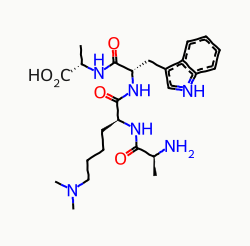 C[C@H](N)C(=O)N[C@@H](CCCCN(C)C)C(=O)N[C@@H](Cc1c[nH]c2ccccc12)C(=O)N[C@@H](C)C(=O)O